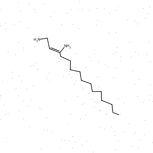 CCCCCCCCCCCCC(N)=CCN